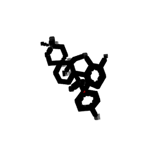 C[P@]1(=O)CC[C@]2(CCC[C@@]3(S(=O)(=O)c4ccc(Cl)cc4)c4c(F)ccc(F)c4OC[C@@H]23)CO1